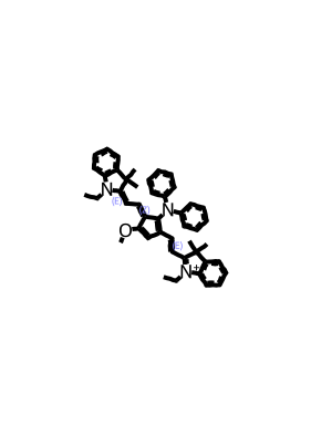 CCN1/C(=C/C=C2\C(OC)=CC(/C=C/C3=[N+](CC)c4ccccc4C3(C)C)=C2N(c2ccccc2)c2ccccc2)C(C)(C)c2ccccc21